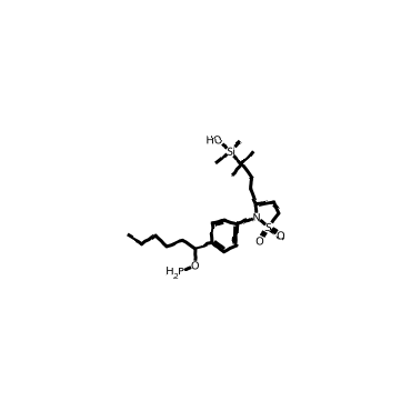 CCCCCC(OP)c1ccc(N2C(CCC(C)(C)[Si](C)(C)O)CCS2(=O)=O)cc1